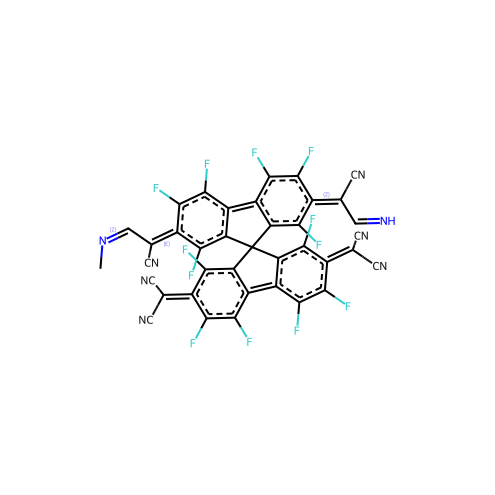 C/N=C\C(C#N)=c1/c(F)c(F)c2c(c1F)C1(c3c(F)c(=C(C#N)C#N)c(F)c(F)c3=c3c(F)c(F)c(=C(C#N)C#N)c(F)c31)c1c(F)/c(=C(/C#N)C=N)c(F)c(F)c1=2